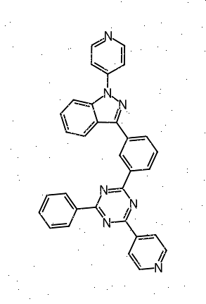 c1ccc(-c2nc(-c3ccncc3)nc(-c3cccc(-c4nn(-c5ccncc5)c5ccccc45)c3)n2)cc1